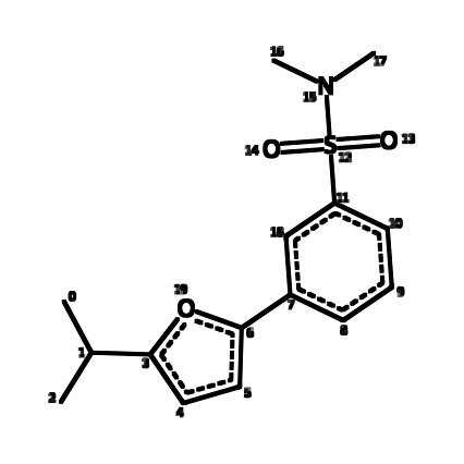 CC(C)c1ccc(-c2cccc(S(=O)(=O)N(C)C)c2)o1